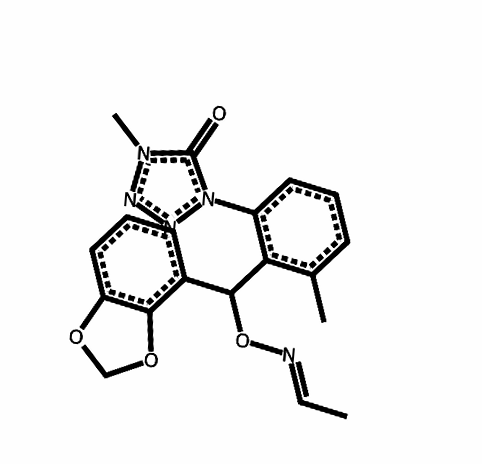 CC=NOC(c1cccc2c1OCO2)c1c(C)cccc1-n1nnn(C)c1=O